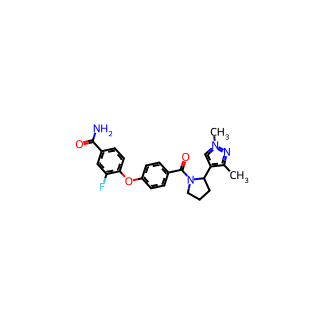 Cc1nn(C)cc1C1CCCN1C(=O)c1ccc(Oc2ccc(C(N)=O)cc2F)cc1